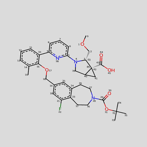 COC[C@H]1N(c2cccc(-c3cccc(C)c3OCc3cc(F)c4c(c3)CCN(C(=O)OC(C)(C)C)CC4)n2)CC2C[C@@]21C(=O)O